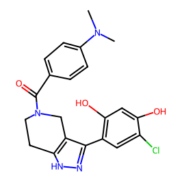 CN(C)c1ccc(C(=O)N2CCc3[nH]nc(-c4cc(Cl)c(O)cc4O)c3C2)cc1